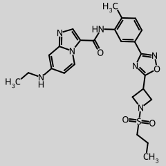 CCCS(=O)(=O)N1CC(c2nc(-c3ccc(C)c(NC(=O)c4cnc5cc(NCC)ccn45)c3)no2)C1